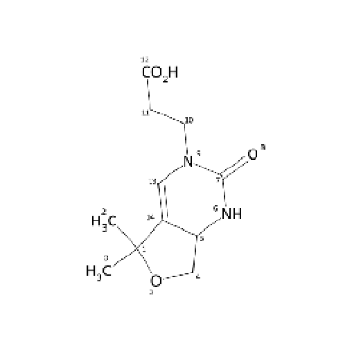 CC1(C)OCC2NC(=O)N(CCC(=O)O)C=C21